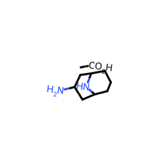 CC(=O)O.NC1CC2CCCC(C1)N2